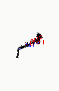 CCCCCCCC/C=C\CCCCCCCC(=O)NCCCOC(=O)CCNC(=O)C(O)C(C)(C)COC(=O)c1ccccc1